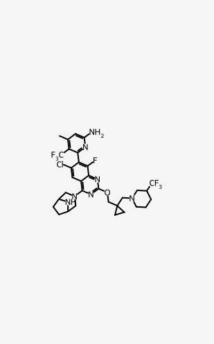 Cc1cc(N)nc(-c2c(Cl)cc3c(N4CC5CCC(C4)N5)nc(OCC4(CN5CCCC(C(F)(F)F)C5)CC4)nc3c2F)c1C(F)(F)F